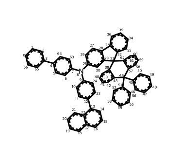 c1ccc(-c2ccc(N(c3ccc(-c4cccc5ccccc45)cc3)c3ccc4c(c3)C3(c5ccccc5-4)c4ccccc4C(c4ccccc4)(c4ccccc4)c4ccccc43)cc2)cc1